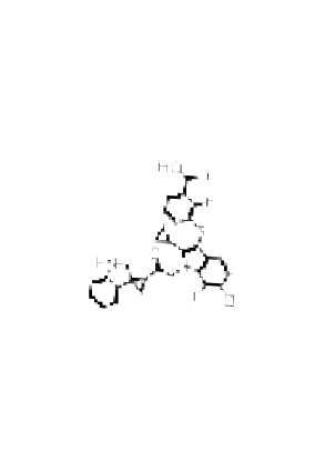 O=C(O)c1cccc(Sc2c(C3CC3)n(CC(=O)C3CC34CNc3ccccc34)c3c(F)c(Cl)ccc23)c1F